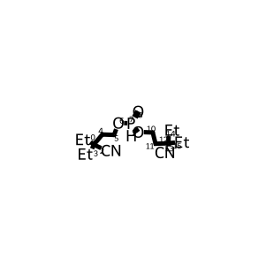 CCC(C#N)(CC)CCO[PH](=O)OCCC(C#N)(CC)CC